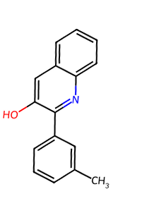 Cc1cccc(-c2nc3ccccc3cc2O)c1